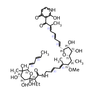 C/C=C/C=C/[C@@H]1O[C@](O)([C@H](CC)C(=O)NC/C=C/C=C(\C)[C@@H](OC)[C@@H](C)[C@@H]2O[C@H](/C=C/C=C/C=C(\C)C(=O)c3c(O)[nH]ccc3=O)[C@H](O)[C@@H]2O)[C@H](O)[C@H](O)C1(C)C